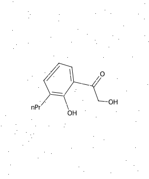 CCCc1cccc(C(=O)CO)c1O